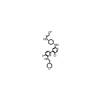 COC[C@@H](C)N[C@H]1CC[C@H](Nc2cc(-c3ccc(F)c(NCC4CCOCC4)n3)c(Cl)cn2)CC1